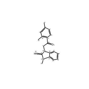 Cc1ccc(C(=O)Cn2c(=N)n(C)c3ccccc32)c(C)c1